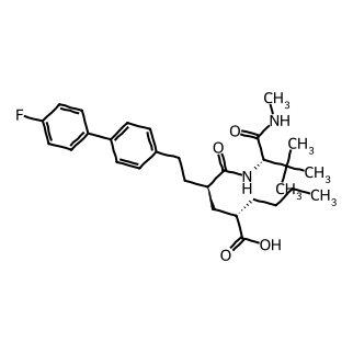 CCCC[C@@H](C[C@@H](CCc1ccc(-c2ccc(F)cc2)cc1)C(=O)N[C@H](C(=O)NC)C(C)(C)C)C(=O)O